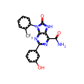 NC(=O)c1nc(-c2cccc(O)c2)nc2c1[nH]c(=O)n2-c1ccccc1C(F)(F)F